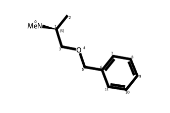 CN[C@@H](C)COCc1ccccc1